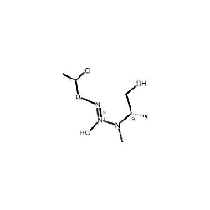 CC(Cl)O/N=[N+](\O)N(C)[C@@H](C)CO